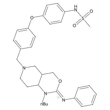 CCCCN1/C(=N/c2ccccc2)OCC2CN(Cc3ccc(Oc4ccc(NS(C)(=O)=O)cc4)cc3)CCC21